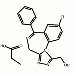 CCC(=O)O.OCc1nnc2n1-c1ccc(Cl)cc1C(c1ccccc1)=NC2